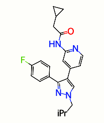 CC(C)Cn1cc(-c2ccnc(NC(=O)CC3CC3)c2)c(-c2ccc(F)cc2)n1